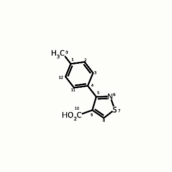 Cc1ccc(-c2nscc2C(=O)O)cc1